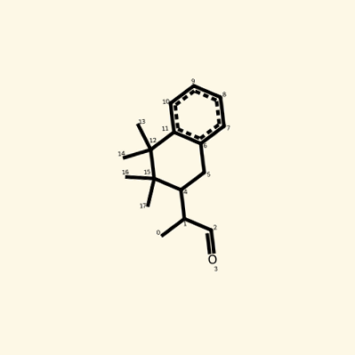 CC(C=O)C1Cc2ccccc2C(C)(C)C1(C)C